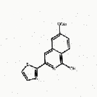 COc1ccc2c(C)nc(-c3nccs3)cc2c1